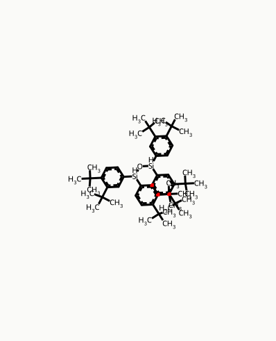 CC(C)(C)c1ccc([SiH](O[SiH](c2ccc(C(C)(C)C)c(C(C)(C)C)c2)c2ccc(C(C)(C)C)c(C(C)(C)C)c2)c2ccc(C(C)(C)C)c(C(C)(C)C)c2)cc1C(C)(C)C